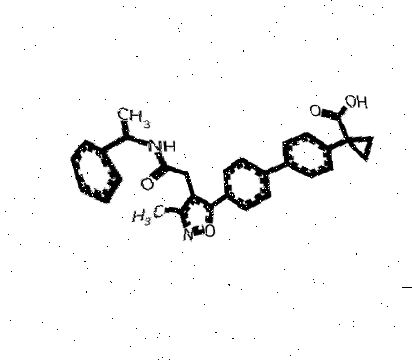 Cc1noc(-c2ccc(-c3ccc(C4(C(=O)O)CC4)cc3)cc2)c1CC(=O)NC(C)c1ccccc1